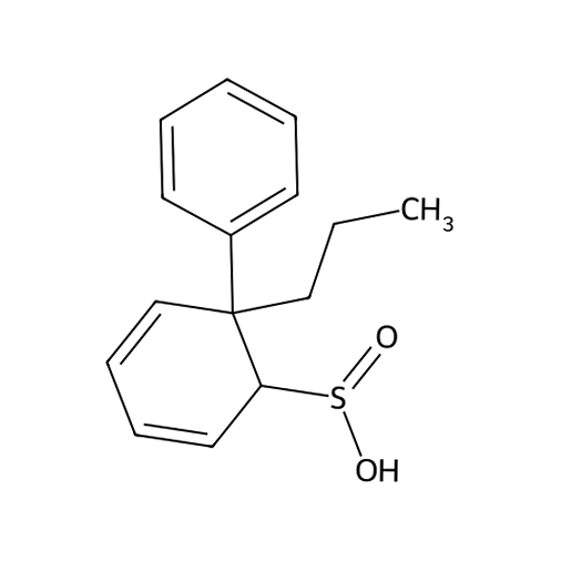 CCCC1(c2ccccc2)C=CC=CC1S(=O)O